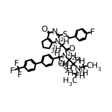 [2H]C([2H])(C)N(C([2H])([2H])C)C([2H])([2H])C([2H])([2H])N(C(=O)C([2H])([2H])n1c(SCc2ccc(F)cc2)nc(=O)c2c1CCC2)C([2H])(C)c1ccc(-c2ccc(C(F)(F)F)cc2)cc1